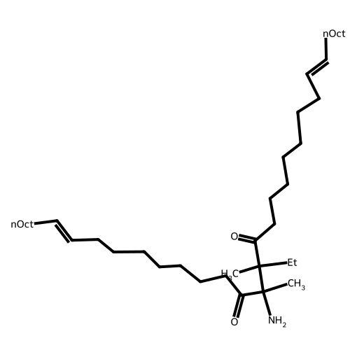 CCCCCCCCC=CCCCCCCCC(=O)C(C)(N)C(C)(CC)C(=O)CCCCCCCC=CCCCCCCCC